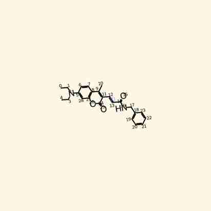 CCN(CC)c1ccc2c(C)c(/C=C/C(=O)NCc3ccccc3)c(=O)oc2c1